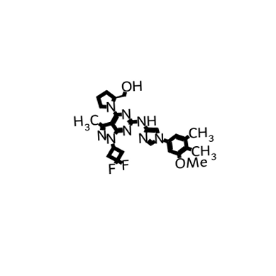 COc1cc(-n2cnc(Nc3nc(N4CCC[C@H]4CO)c4c(C)nn(C5CC(F)(F)C5)c4n3)c2)cc(C)c1C